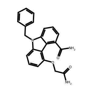 NC(=O)COc1cccc2c1c1c(C(N)=O)cccc1n2Cc1ccccc1